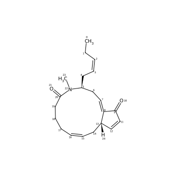 CC/C=C\C[C@H]1C/C=C2/C(=O)C=C[C@@H]2C/C=C\CCCC(=O)N1C